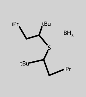 B.CC(C)CC(SC(CC(C)C)C(C)(C)C)C(C)(C)C